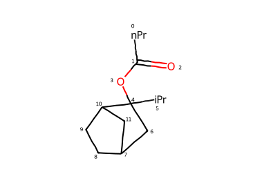 CCCC(=O)OC1(C(C)C)CC2CCC1C2